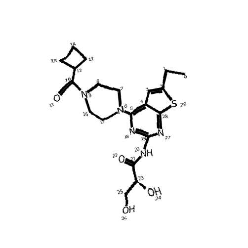 CCc1cc2c(N3CCN(C(=O)C4CCC4)CC3)nc(NC(=O)[C@@H](O)CO)nc2s1